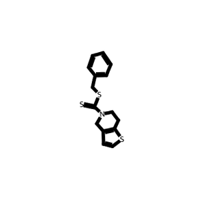 S=C(SCc1ccccc1)N1CCc2sccc2C1